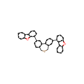 c1ccc2c(c1)oc1c(-c3ccc4c(c3)-c3ccc(-c5cccc6oc7ccccc7c56)cc3CSC4)cccc12